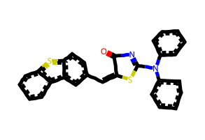 O=C1N=C(N(c2ccccc2)c2ccccc2)S/C1=C/c1ccc2sc3ccccc3c2c1